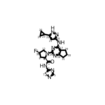 O=C(Nc1ncns1)[C@H]1C[C@@H](F)CN1c1nc2c(c(Nc3cc(C4CC4)[nH]n3)n1)CCC2